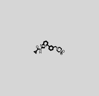 O=C(Nc1cn2c(-c3cccc(CN4CCS(=O)(=O)CC4)c3)cccc2n1)C1CC1